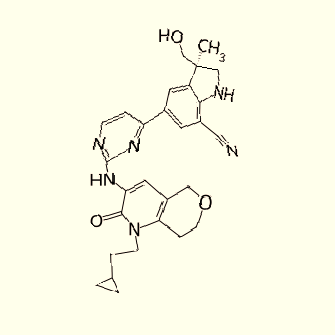 C[C@]1(CO)CNc2c(C#N)cc(-c3ccnc(Nc4cc5c(n(CCC6CC6)c4=O)CCOC5)n3)cc21